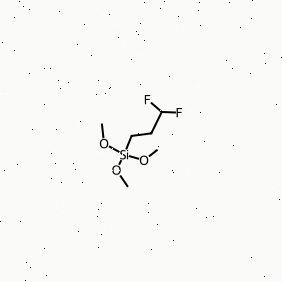 CO[Si](CCC(F)F)(OC)OC